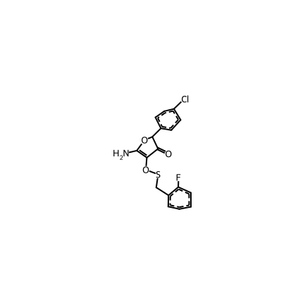 NC1=C(OSCc2ccccc2F)C(=O)C(c2ccc(Cl)cc2)O1